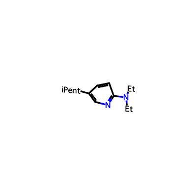 CCCC(C)c1ccc(N(CC)CC)nc1